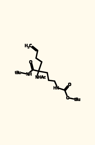 C=CCCC(CCCNC(=O)OC(C)(C)C)(NC(C)=O)C(=O)NC(C)(C)C